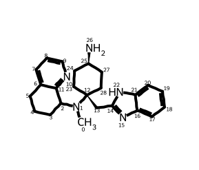 CN(C1CCCc2cccnc21)[C@]1(Cc2nc3ccccc3[nH]2)CC[C@@H](N)CC1